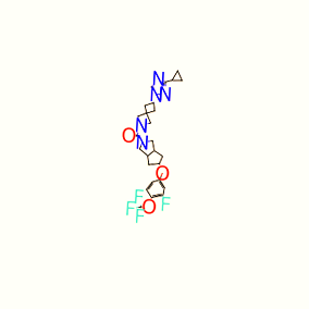 O=C(N1CC2CC(Oc3ccc(OC(F)(F)F)c(F)c3)CC2C1)N1CC2(CC(n3cnc(C4CC4)n3)C2)C1